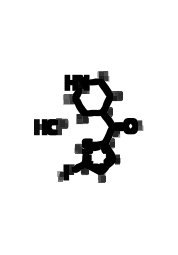 Cl.O=C(c1ccc(F)s1)C1CCNCC1